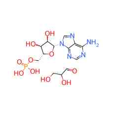 Nc1ncnc2c1ncn2[C@@H]1O[C@H](COP(=O)(O)O)[C@@H](O)[C@H]1O.O=CC(O)CO